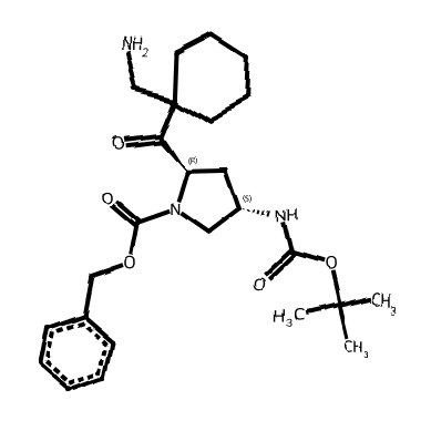 CC(C)(C)OC(=O)N[C@H]1C[C@H](C(=O)C2(CN)CCCCC2)N(C(=O)OCc2ccccc2)C1